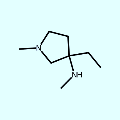 CCC1(NC)CCN(C)C1